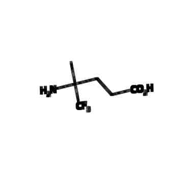 CC(N)(CCC(=O)O)C(F)(F)F